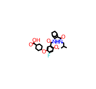 COc1cc(F)c(OC2CCC(C(=O)O)CC2)cc1C(=O)NC1C2CCC(C2)C1C(=O)NCC(C)C